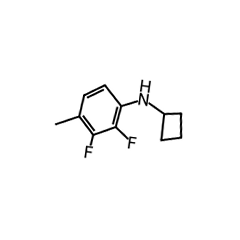 Cc1ccc(NC2CCC2)c(F)c1F